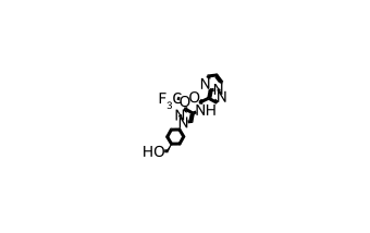 O=C(Nc1cn([C@H]2CC[C@H](CO)CC2)nc1OC(F)(F)F)c1cnn2cccnc12